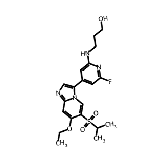 CCOc1cc2ncc(-c3cc(F)nc(NCCCO)c3)n2cc1S(=O)(=O)C(C)C